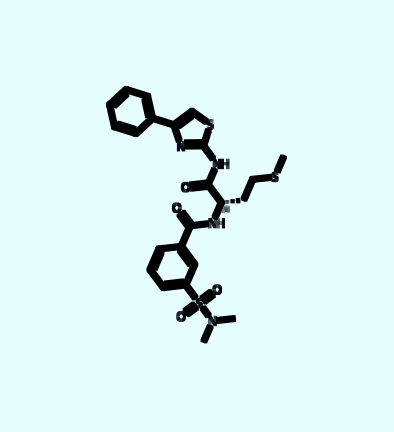 CSCC[C@H](NC(=O)c1cccc(S(=O)(=O)N(C)C)c1)C(=O)Nc1nc(-c2ccccc2)cs1